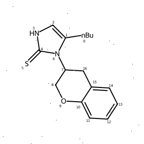 CCCCc1c[nH]c(=S)n1C1COc2ccccc2C1